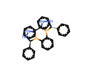 c1ccc([C@H]2NN[C@H](c3ccccc3)P2c2ccccc2P2[C@@H](c3ccccc3)NN[C@@H]2c2ccccc2)cc1